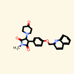 CN1C(=O)C(c2ccc(OCc3ccc4ccccc4n3)cc2)C(N2CCC(=O)CC2)C1=O